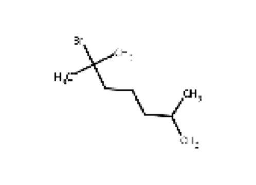 CC(C)CCCC(C)(C)Br